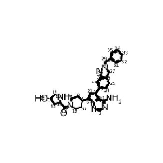 Nc1ncnn2c(C3CCN(C(=O)C4C[C@H](O)CN4)CC3)cc(-c3ccc4cn(Cc5ccccc5)nc4c3)c12